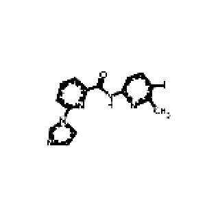 Cc1nc(NC(=O)c2cccc(-n3ccnc3)n2)ccc1I